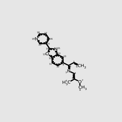 C=C/C(=N\C=C(/C)OC)c1ccc2oc(-c3cccnc3)nc2c1